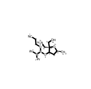 CC(C)N(C(C)C)P(OCCC#N)OC1C[C@H](C)O[C@@]1(CN)CO